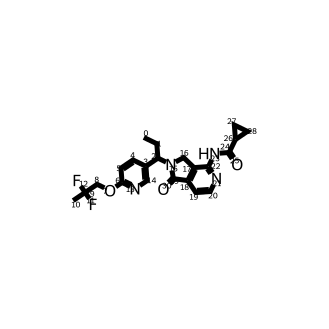 CCC(c1ccc(OCC(C)(F)F)nc1)N1Cc2c(ccnc2NC(=O)C2CC2)C1=O